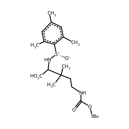 Cc1cc(C)c([S@+]([O-])NC(C(=O)O)C(C)(C)CCNC(=O)OC(C)(C)C)c(C)c1